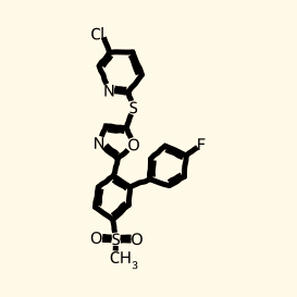 CS(=O)(=O)c1ccc(-c2ncc(Sc3ccc(Cl)cn3)o2)c(-c2ccc(F)cc2)c1